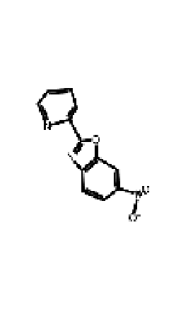 O=[N+]([O-])c1ccc2nc(-c3ccccn3)oc2c1